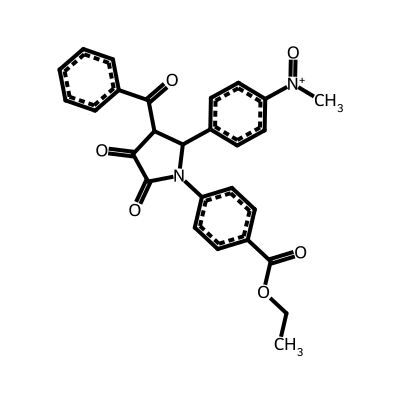 CCOC(=O)c1ccc(N2C(=O)C(=O)C(C(=O)c3ccccc3)C2c2ccc([N+](C)=O)cc2)cc1